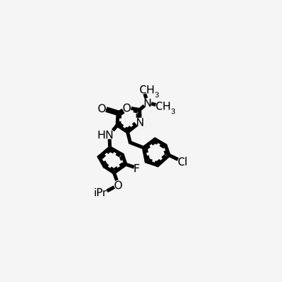 CC(C)Oc1ccc(Nc2c(Cc3ccc(Cl)cc3)nc(N(C)C)oc2=O)cc1F